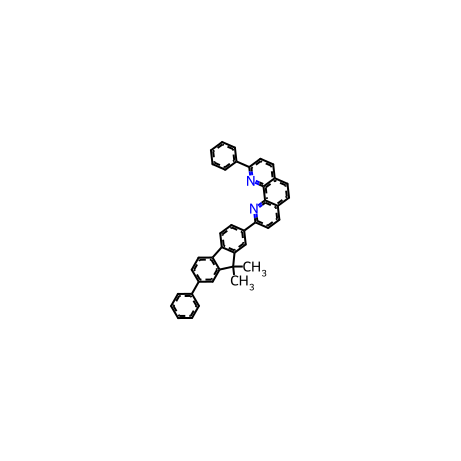 CC1(C)c2cc(-c3ccccc3)ccc2-c2ccc(-c3ccc4ccc5ccc(-c6ccccc6)nc5c4n3)cc21